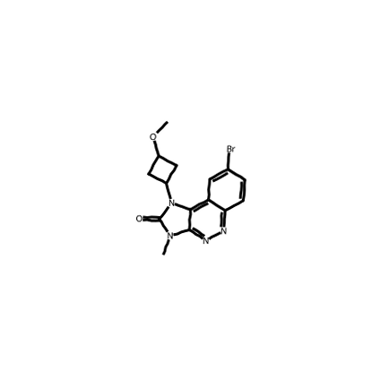 COC1CC(n2c(=O)n(C)c3nnc4ccc(Br)cc4c32)C1